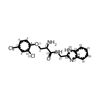 NC(COc1ccc(Cl)cc1Cl)C(=O)NCc1nc2ccccc2[nH]1